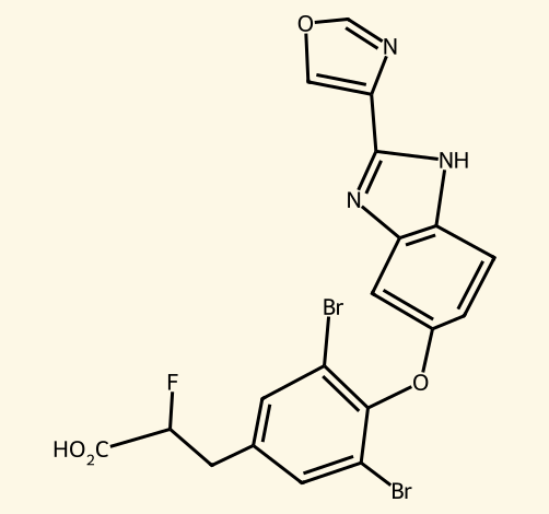 O=C(O)C(F)Cc1cc(Br)c(Oc2ccc3[nH]c(-c4cocn4)nc3c2)c(Br)c1